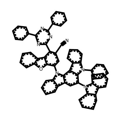 N#Cc1cc(-n2c3ccccc3c3cc(-n4c5ccccc5c5ccccc54)c4c(c5ccccc5n4-c4ccccc4)c32)c2oc3ccccc3c2c1-c1nc(-c2ccccc2)nc(-c2ccccc2)n1